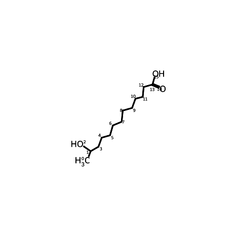 CC(O)CCCCCCCCCCC(=O)O